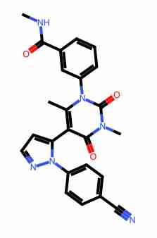 CNC(=O)c1cccc(-n2c(C)c(-c3ccnn3-c3ccc(C#N)cc3)c(=O)n(C)c2=O)c1